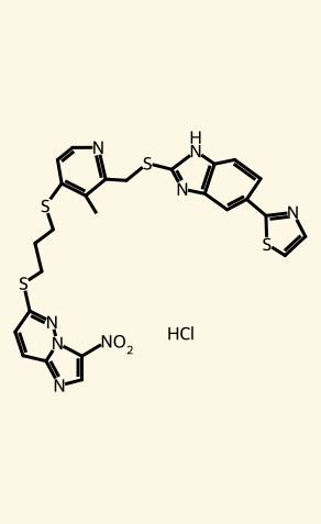 Cc1c(SCCCSc2ccc3ncc([N+](=O)[O-])n3n2)ccnc1CSc1nc2cc(-c3nccs3)ccc2[nH]1.Cl